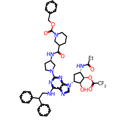 CCC(=O)N[C@H]1C[C@@H](n2cnc3c(NCC(c4ccccc4)c4ccccc4)nc(N4CC[C@@H](NC(=O)C5CCCN(C(=O)OCc6ccccc6)C5)C4)nc32)[C@H](O)[C@@H]1OC(=O)C(F)(F)F